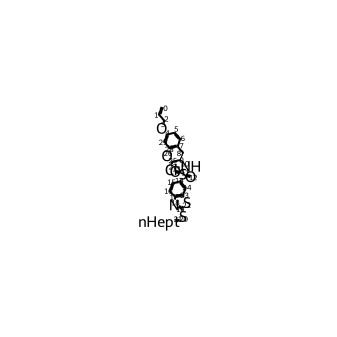 C=CCOc1ccc(C[C@@H](NS(=O)(=O)c2ccc3nc(SCCCCCCC)sc3c2)C(=O)Cl)cc1